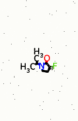 CC(C)N1CC[C@H](F)C1=O